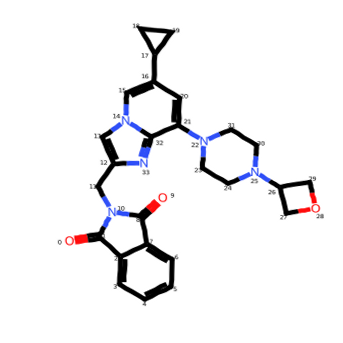 O=C1c2ccccc2C(=O)N1Cc1cn2cc(C3CC3)cc(N3CCN(C4COC4)CC3)c2n1